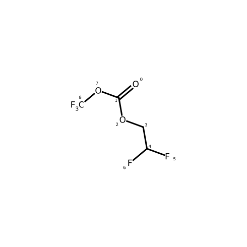 O=C(OCC(F)F)OC(F)(F)F